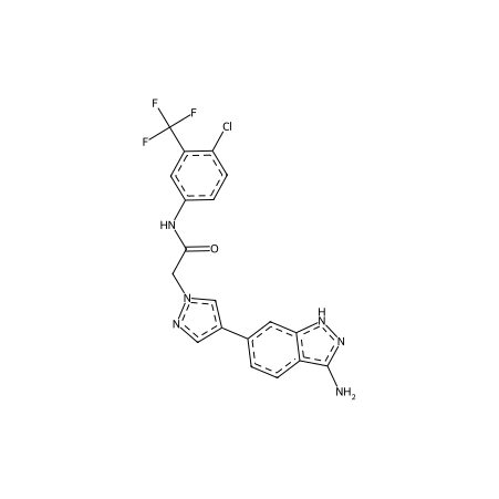 Nc1n[nH]c2cc(-c3cnn(CC(=O)Nc4ccc(Cl)c(C(F)(F)F)c4)c3)ccc12